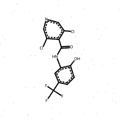 O=C(Nc1cc(C(F)(F)F)ccc1O)c1c(Cl)cncc1Cl